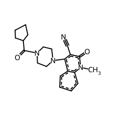 Cn1c(=O)c(C#N)c(N2CCN(C(=O)C3CCCC3)CC2)c2ccccc21